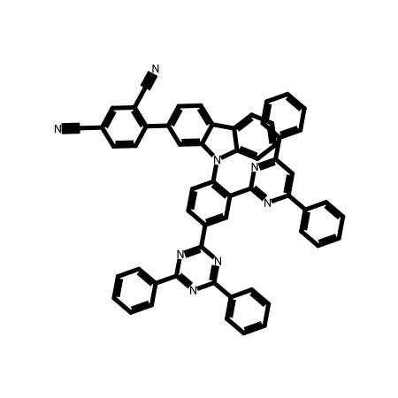 N#Cc1ccc(-c2ccc3c4ccccc4n(-c4ccc(-c5nc(-c6ccccc6)nc(-c6ccccc6)n5)cc4-c4nc(-c5ccccc5)cc(-c5ccccc5)n4)c3c2)c(C#N)c1